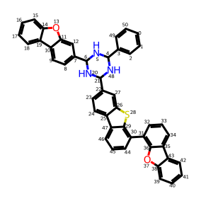 c1ccc(C2NC(c3ccc4c(c3)oc3ccccc34)NC(c3ccc4c(c3)sc3c(-c5cccc6c5oc5ccccc56)cccc34)N2)cc1